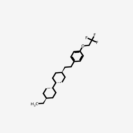 CC[C@H]1CC[C@H]([C@H]2CC[C@H](CCc3ccc(OCC(F)(F)F)cc3)CC2)CC1